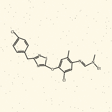 CCN(C)C=Nc1cc(Cl)c(Oc2nc(Cc3ccc(Cl)cc3)ns2)cc1C